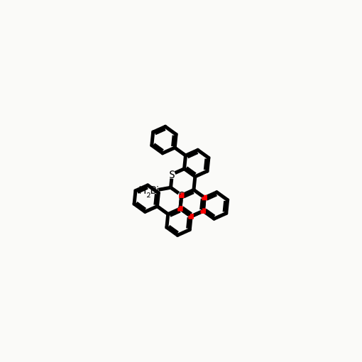 [BiH2][CH](Sc1c(-c2ccccc2)cccc1-c1ccccc1)Sc1c(-c2ccccc2)cccc1-c1ccccc1